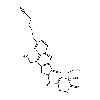 CCc1c2c(nc3ccc(OCCCC#N)cc13)-c1cc3c(c(=O)n1C2)COC(=O)[C@]3(O)CC